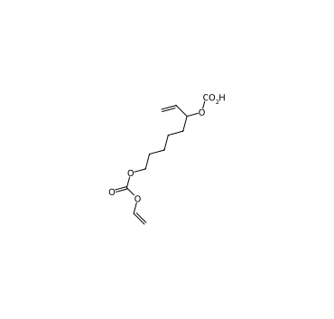 C=COC(=O)OCCCCCC(C=C)OC(=O)O